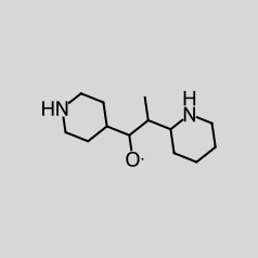 CC(C1CCCCN1)C([O])C1CCNCC1